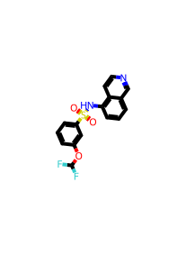 O=S(=O)(Nc1cccc2cnccc12)c1cccc(OC(F)F)c1